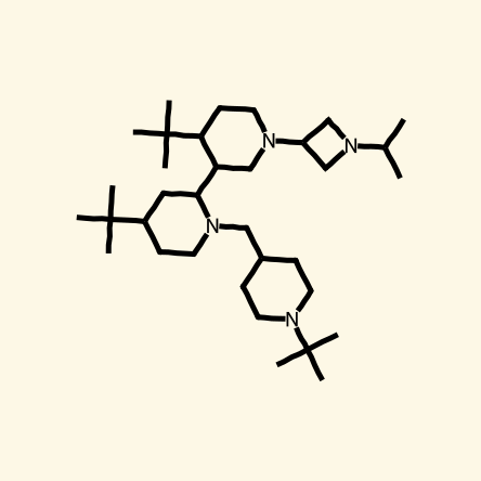 CC(C)N1CC(N2CCC(C(C)(C)C)C(C3CC(C(C)(C)C)CCN3CC3CCN(C(C)(C)C)CC3)C2)C1